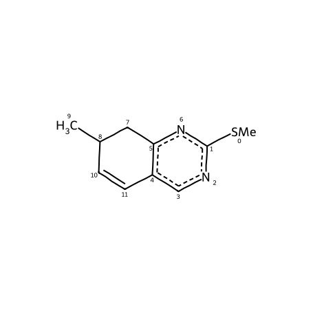 CSc1ncc2c(n1)CC(C)C=C2